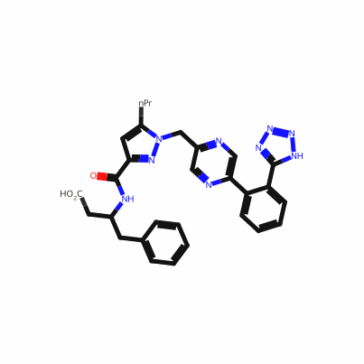 CCCc1cc(C(=O)NC(CC(=O)O)Cc2ccccc2)nn1Cc1cnc(-c2ccccc2-c2nnn[nH]2)cn1